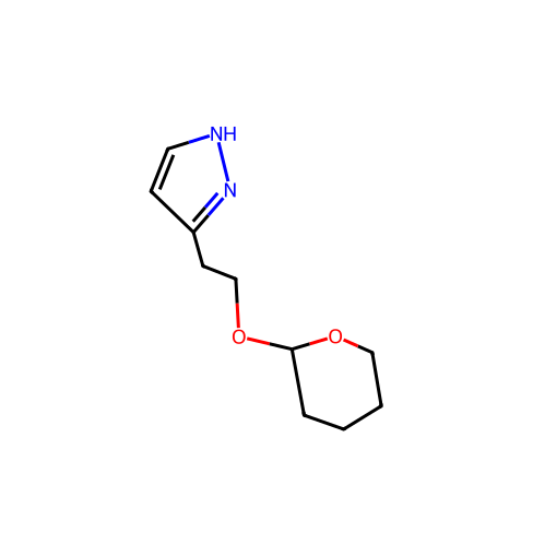 c1cc(CCOC2CCCCO2)n[nH]1